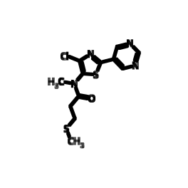 CSCCC(=O)N(C)c1sc(-c2cncnc2)nc1Cl